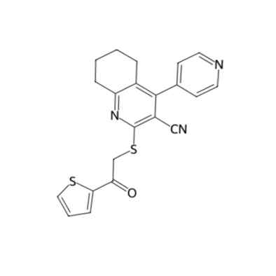 N#Cc1c(SCC(=O)c2cccs2)nc2c(c1-c1ccncc1)CCCC2